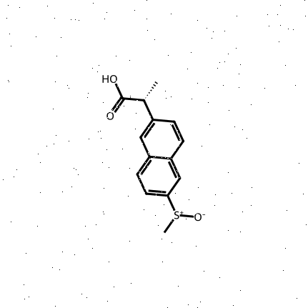 C[C@@H](C(=O)O)c1ccc2cc([S+](C)[O-])ccc2c1